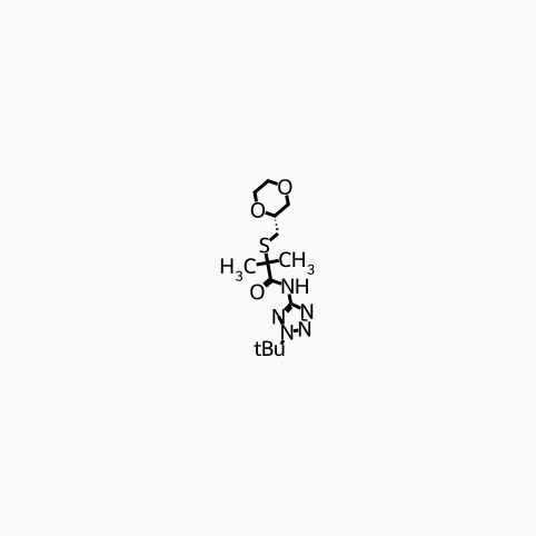 CC(C)(SC[C@H]1COCCO1)C(=O)Nc1nnn(C(C)(C)C)n1